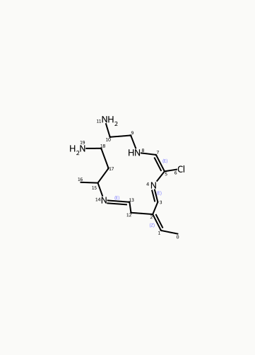 C\C=C(/C=N/C(Cl)=C\NCCN)C/C=N/C(C)CCN